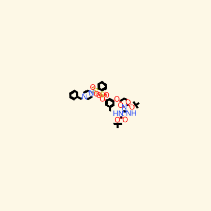 CCC(Oc1cc(C)cc(OS(=O)(=O)c2ccccc2S(=O)(=O)N2CCN(Cc3ccccc3)CC2)c1)ON(C(=N)NC(=O)OC(C)(C)C)C(=O)OC(C)(C)C